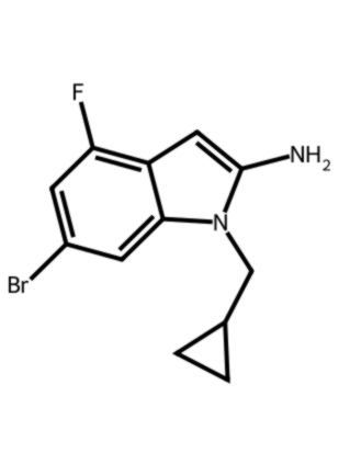 Nc1cc2c(F)cc(Br)cc2n1CC1CC1